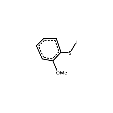 COc1ccccc1SI